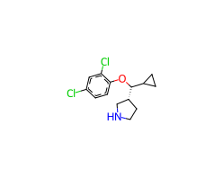 Clc1ccc(OC(C2CC2)[C@@H]2CCNC2)c(Cl)c1